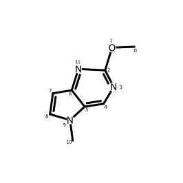 COc1ncc2c(ccn2C)n1